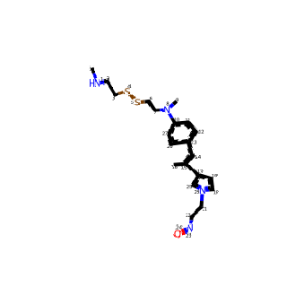 CNCCSSCCN(C)c1ccc(/C=C(\C)c2ccn(CCN=O)c2)cc1